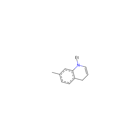 CCN1C=CCc2ccc(C)cc21